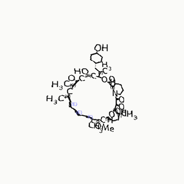 CO[C@H]1C[C@@H]2CC[C@@H](C)[C@@](O)(O2)C(=O)C(=O)N2CCCC[C@H]2C(=O)OC([C@H](C)C[C@H]2CC[C@H](O)CC2)C[C@@H](O)CC(=O)[C@H](C)C[C@H](C)/C=C/C=C/C=C/1C